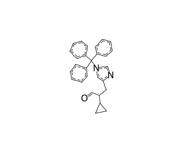 O=CC(Cc1cn(C(c2ccccc2)(c2ccccc2)c2ccccc2)cn1)C1CC1